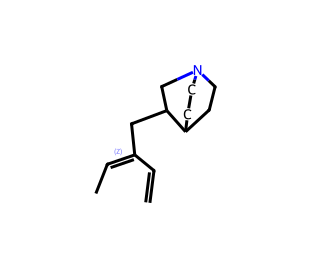 C=C/C(=C\C)CC1CN2CCC1CC2